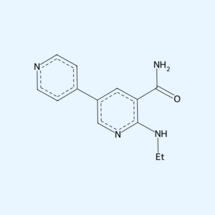 CCNc1ncc(-c2ccncc2)cc1C(N)=O